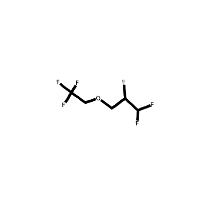 FC(F)C(F)COCC(F)(F)F